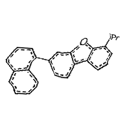 CC(C)c1cccc2c1oc1cc(-c3cccc4ccccc34)ccc12